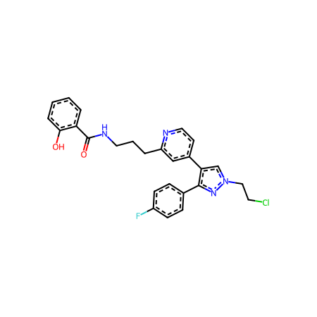 O=C(NCCCc1cc(-c2cn(CCCl)nc2-c2ccc(F)cc2)ccn1)c1ccccc1O